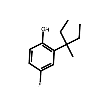 CCC(C)(CC)c1cc(F)ccc1O